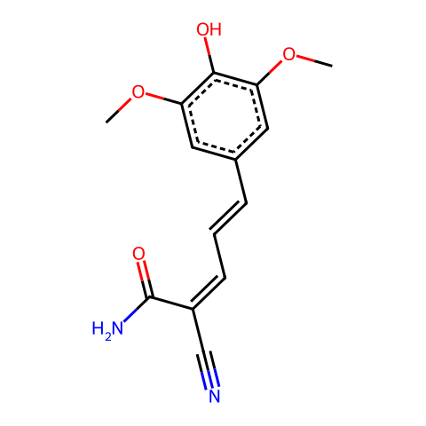 COc1cc(C=CC=C(C#N)C(N)=O)cc(OC)c1O